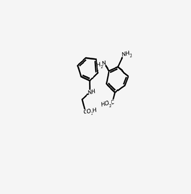 Nc1ccc(C(=O)O)cc1N.O=C(O)CNc1ccccc1